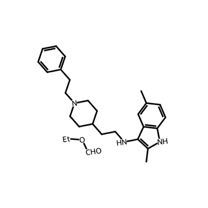 CCOC=O.Cc1ccc2[nH]c(C)c(NCCC3CCN(CCc4ccccc4)CC3)c2c1